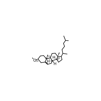 CO[C@H]1CC[C@@]2(C)C(=CC[C@@H]3[C@@H]2CC[C@]2(C)C(C(C)CCCC(C)C)CC[C@@H]32)C1